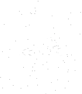 CCCNC(=O)c1c([N+]2(C(=O)CCS(=O)(=O)c3ccc4cc(Cl)ccc4c3)CCCCC2)s/c(=N\C)n1C